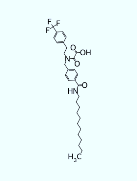 CCCCCCCCCCCCNC(=O)c1ccc(CN(CCc2ccc(C(F)(F)F)cc2)C(=O)C(=O)O)cc1